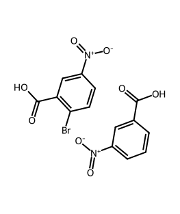 O=C(O)c1cc([N+](=O)[O-])ccc1Br.O=C(O)c1cccc([N+](=O)[O-])c1